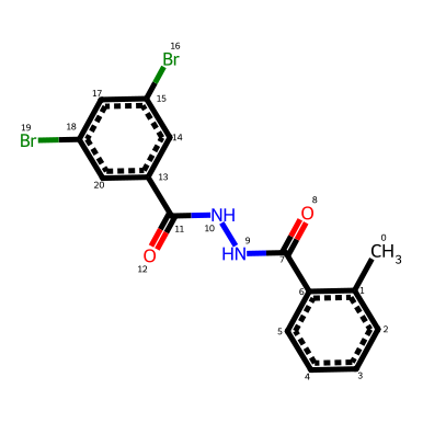 Cc1ccccc1C(=O)NNC(=O)c1cc(Br)cc(Br)c1